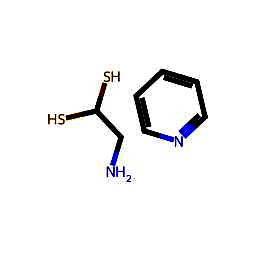 NCC(S)S.c1ccncc1